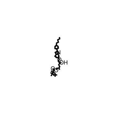 CCCCCc1ccc(-c2cc3ccc(OCC(O)CCC(C)COC(=O)C(C)(CC(C)(C)C)C(C)(C)C)cc3n2C)cc1